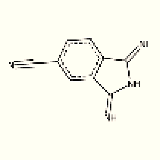 N#Cc1ccc2c(c1)C(=N)NC2=N